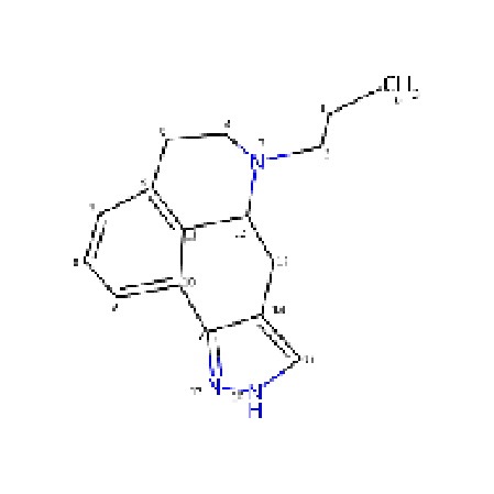 CCCN1CCc2cccc3c2C1Cc1c[nH]nc1-3